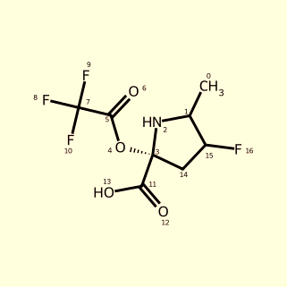 CC1N[C@](OC(=O)C(F)(F)F)(C(=O)O)CC1F